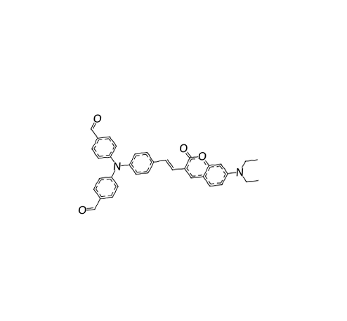 CCN(CC)c1ccc2cc(/C=C/c3ccc(N(c4ccc(C=O)cc4)c4ccc(C=O)cc4)cc3)c(=O)oc2c1